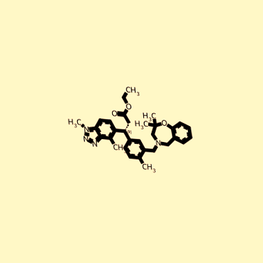 CCOC(=O)C[C@H](c1ccc(C)c(CN2Cc3ccccc3OC(C)(C)C2)c1)c1ccc2c(nnn2C)c1C